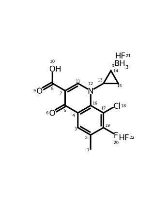 B.Cc1cc2c(=O)c(C(=O)O)cn(C3CC3)c2c(Cl)c1F.F.F